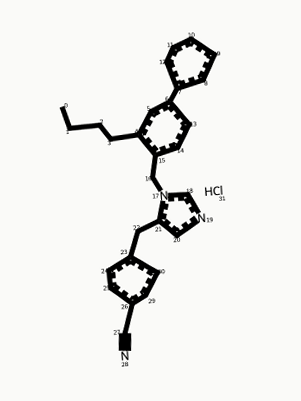 CCCCc1cc(-c2ccccc2)ccc1Cn1cncc1Cc1ccc(C#N)cc1.Cl